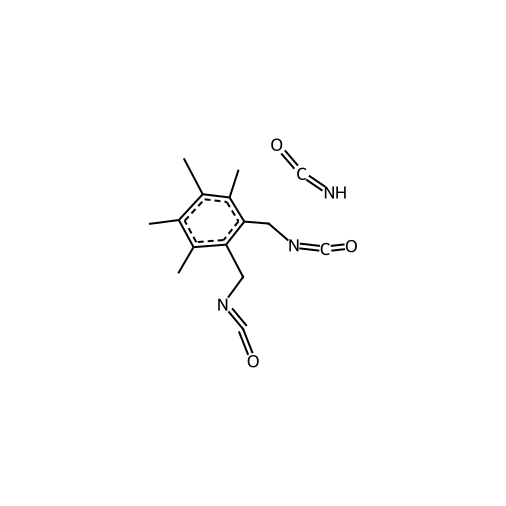 Cc1c(C)c(C)c(CN=C=O)c(CN=C=O)c1C.N=C=O